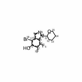 Oc1c(F)c(F)c2c(cnn2C2CCCCO2)c1Br